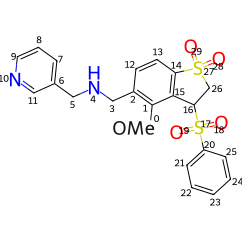 COc1c(CNCc2cccnc2)ccc2c1C(S(=O)(=O)c1ccccc1)CS2(=O)=O